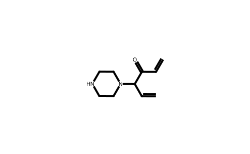 C=CC(=O)C(C=C)N1CCNCC1